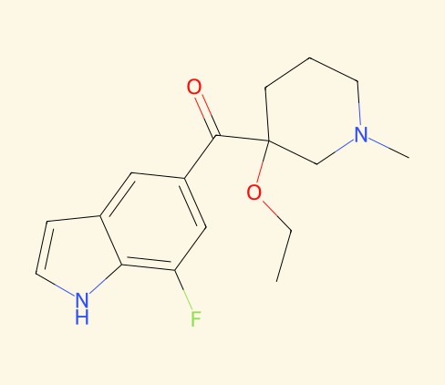 CCOC1(C(=O)c2cc(F)c3[nH]ccc3c2)CCCN(C)C1